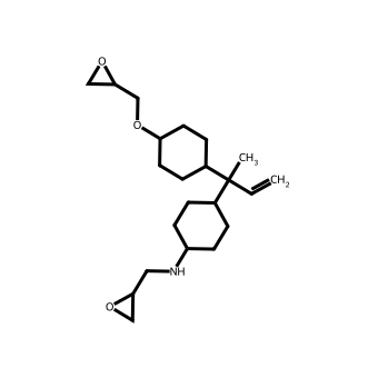 C=CC(C)(C1CCC(NCC2CO2)CC1)C1CCC(OCC2CO2)CC1